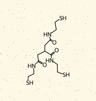 O=C(CC(CC(=O)NCCS)C(=O)NCCS)NCCS